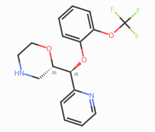 FC(F)(F)Oc1ccccc1O[C@@H](c1ccccn1)[C@@H]1CNCCO1